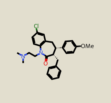 COc1ccc([C@H]2Cc3cc(Cl)ccc3N(CCN(C)C)C(=O)[C@H]2Cc2ccccc2)cc1